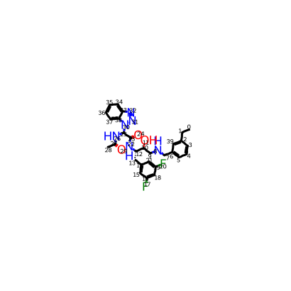 CCc1cccc(CNC[C@H](O)[C@H](Cc2cc(F)cc(F)c2)NC(=O)C(NC(C)=O)n2nnc3ccccc32)c1